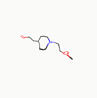 COCCN1CCC(CC[O])CC1